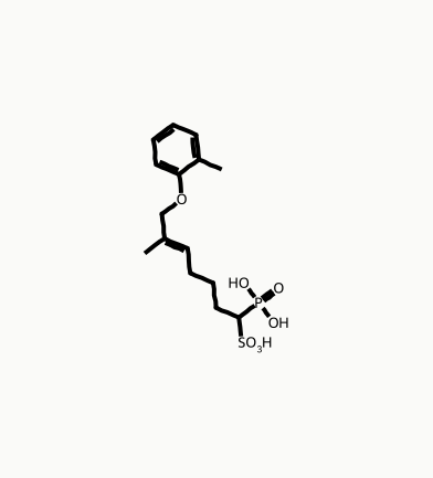 CC(=CCCCC(P(=O)(O)O)S(=O)(=O)O)COc1ccccc1C